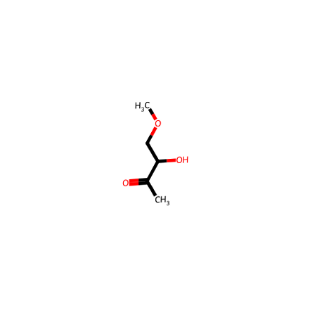 COCC(O)C(C)=O